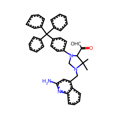 CC1(C)C(C(=O)C=O)N(c2ccc(C(c3ccccc3)(c3ccccc3)c3ccccc3)cc2)CN1Cc1cc(N)nc2ccccc12